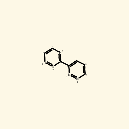 c1cnnc(-c2nccnn2)c1